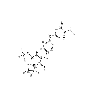 C=C(CC(=O)Oc1ccc(CC(NC(=O)OC(C)(C)C)C(=O)NC2(C)CC2(C)C)cc1)C(=O)OC